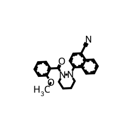 COc1ccccc1C(=O)N1CCCCN1c1ccc(C#N)c2ccccc12